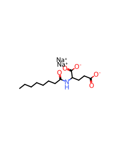 CCCCCCCC(=O)NC(CCC(=O)[O-])C(=O)[O-].[Na+].[Na+]